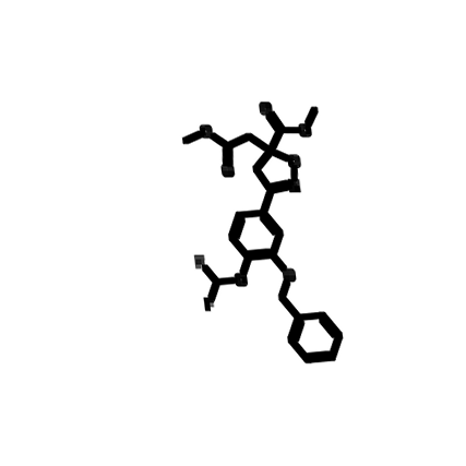 COC(=O)CC1(C(=O)OC)CC(c2ccc(OC(F)F)c(OCc3ccccc3)c2)=NO1